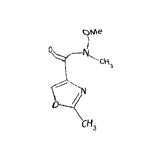 CON(C)C(=O)c1coc(C)n1